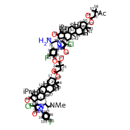 CNCCn1c([C@@]23CC[C@]4(C)[C@H](CC[C@@H]5[C@@]6(C)CC[C@H](OC(=O)CC(C)(C)C(=O)Oc7cc(-n8c(=O)c(Cl)c([C@@]9%10CC[C@]%11(C)[C@H](CC[C@@H]%12[C@@]%13(C)CC[C@H](OC(=O)CC(C)(C)C(C)=O)C(C)(C)[C@@H]%13CC[C@]%12%11C)C9=C(C(C)C)C(=O)C%10)n8CCN)ccc7F)C(C)(C)[C@@H]6CC[C@]54C)C2=C(C(C)C)C(=O)C3)c(Cl)c(=O)n1-c1ccc(F)cc1